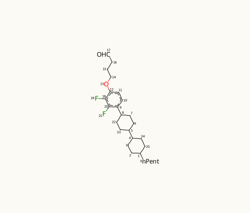 CCCCCC1CCC(C2CCC(c3ccc(OCCCC=O)c(F)c3F)CC2)CC1